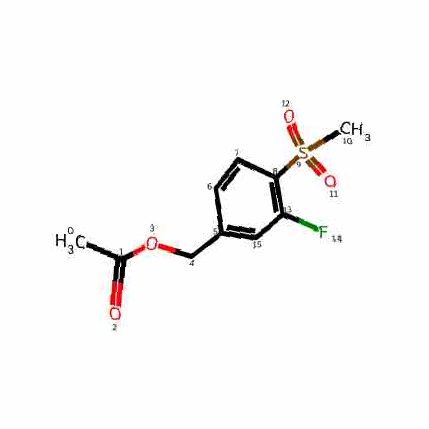 CC(=O)OCc1ccc(S(C)(=O)=O)c(F)c1